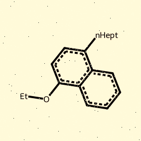 CCCCCCCc1ccc(OCC)c2ccccc12